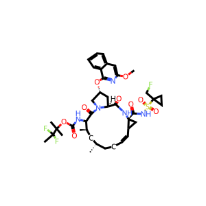 COc1cc2ccccc2c(O[C@@H]2C[C@H]3C(=O)N[C@]4(C(=O)NS(=O)(=O)C5(CF)CC5)CC4/C=C\CC[C@H](C)C[C@@H](C)C(NC(=O)OC(C)(C)C(C)(F)F)C(=O)N3C2)n1